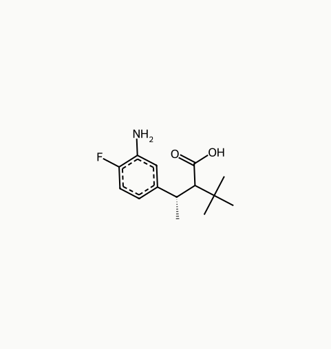 C[C@H](c1ccc(F)c(N)c1)C(C(=O)O)C(C)(C)C